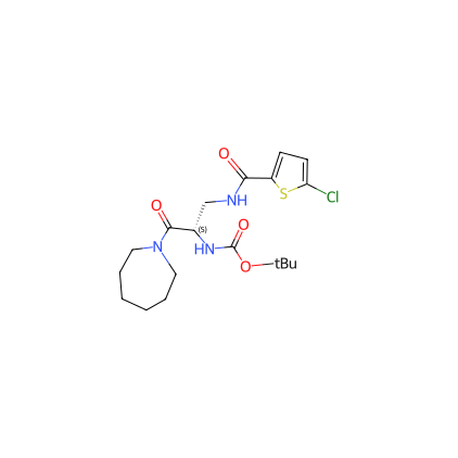 CC(C)(C)OC(=O)N[C@@H](CNC(=O)c1ccc(Cl)s1)C(=O)N1CCCCCC1